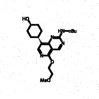 CCCCNc1ncc2c(OCCOC)ncc([C@H]3CC[C@H](O)CC3)c2n1